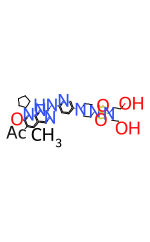 CC(=O)c1c(C)c2cnc(Nc3ccc(N4CCN(S(=O)(=O)N(CCO)CCO)CC4)cn3)nc2n(C2CCCC2)c1=O